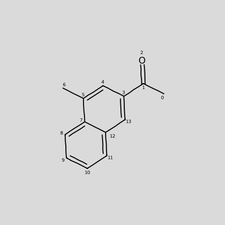 CC(=O)c1cc(C)c2ccccc2c1